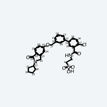 O=C(NCCS(=O)(=O)O)c1cc(-c2cccc(COc3ccc4c(c3)CN(C3CCCC3)C4=O)c2)ccc1Cl